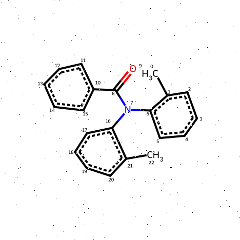 Cc1ccccc1N(C(=O)c1ccccc1)c1ccccc1C